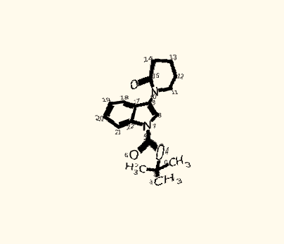 CC(C)(C)OC(=O)n1cc(N2CCCCC2=O)c2ccccc21